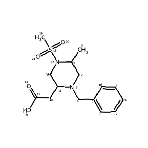 CC1CN(Cc2ccccc2)C(CC(=O)O)CN1S(C)(=O)=O